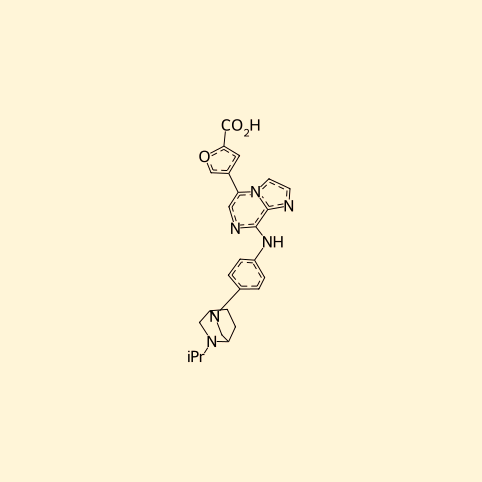 CC(C)N1CC2CCC1CN2c1ccc(Nc2ncc(-c3coc(C(=O)O)c3)n3ccnc23)cc1